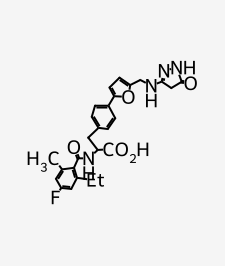 CCc1cc(F)cc(C)c1C(=O)NC(Cc1ccc(-c2ccc(CNC3=NNC(=O)C3)o2)cc1)C(=O)O